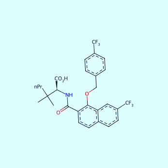 CCCC(C)(C)[C@H](NC(=O)c1ccc2ccc(C(F)(F)F)cc2c1OCc1ccc(C(F)(F)F)cc1)C(=O)O